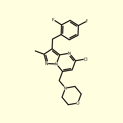 Cc1nn2c(CN3CCOCC3)cc(Cl)nc2c1Cc1ccc(F)cc1F